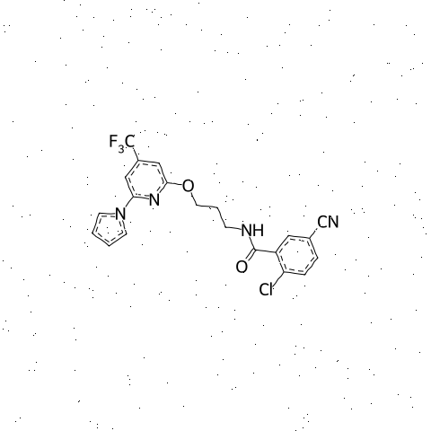 N#Cc1ccc(Cl)c(C(=O)NCCCOc2cc(C(F)(F)F)cc(-n3cccc3)n2)c1